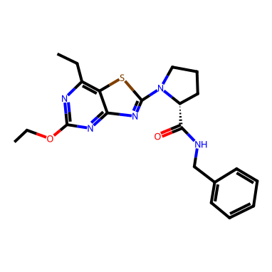 CCOc1nc(CC)c2sc(N3CCC[C@@H]3C(=O)NCc3ccccc3)nc2n1